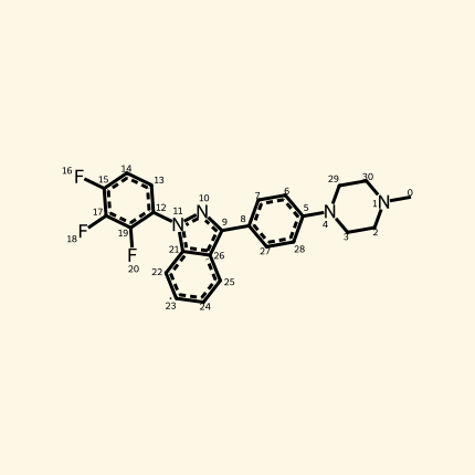 CN1CCN(c2ccc(-c3nn(-c4ccc(F)c(F)c4F)c4c[c]ccc34)cc2)CC1